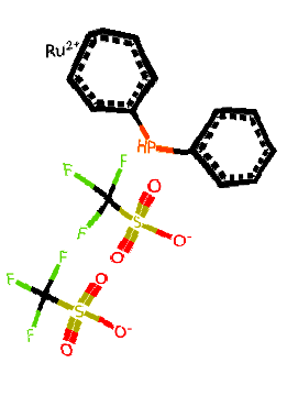 O=S(=O)([O-])C(F)(F)F.O=S(=O)([O-])C(F)(F)F.[Ru+2].c1ccc(Pc2ccccc2)cc1